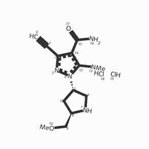 C#Cc1nn([C@@H]2CN[C@@H](COC)C2)c(NC)c1C(N)=O.Cl.Cl